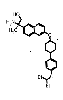 CCC(CC)Oc1ccc(C2CCC(Oc3ccc4cc([C@@](C)(N)CO)ccc4c3)CC2)cc1